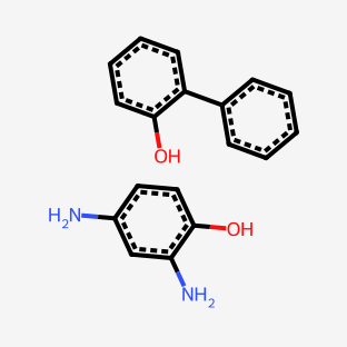 Nc1ccc(O)c(N)c1.Oc1ccccc1-c1ccccc1